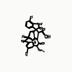 CN(C(=O)[C@H]1[C@H]2CC(F)(F)CN2C2(C(=O)Nc3c(Cl)cccc32)[C@H]1C(=O)O)c1cc(Cl)cc(Cl)c1